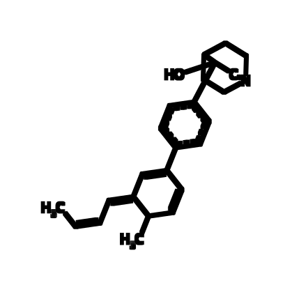 C/C=C\C=C1\C=C(c2ccc(C3(O)CN4CCC3CC4)cc2)C=CC1C